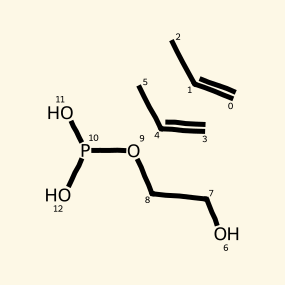 C=CC.C=CC.OCCOP(O)O